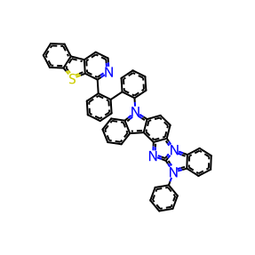 c1ccc(-n2c3ccccc3n3c4ccc5c(c6ccccc6n5-c5ccccc5-c5ccccc5-c5nccc6c5sc5ccccc56)c4nc23)cc1